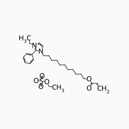 C=CC(=O)OCCCCCCCCCCCn1cc[n+](CC)c1-c1ccccc1.CCOS(=O)(=O)[O-]